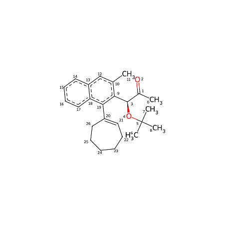 CC(=O)[C@@H](OC(C)(C)C)c1c(C)cc2ccccc2c1C1=CCCCCC1